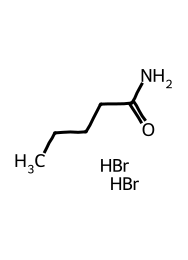 Br.Br.CCCCC(N)=O